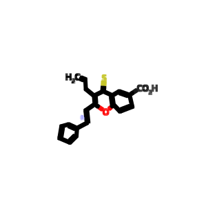 C=CCc1c(/C=C/c2ccccc2)oc2ccc(C(=O)O)cc2c1=S